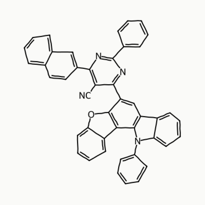 N#Cc1c(-c2ccc3ccccc3c2)nc(-c2ccccc2)nc1-c1cc2c3ccccc3n(-c3ccccc3)c2c2c1oc1ccccc12